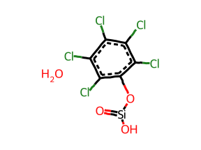 O.O=[Si](O)Oc1c(Cl)c(Cl)c(Cl)c(Cl)c1Cl